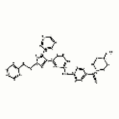 O=C(O)N1CCN(C(=O)c2ccc(Nc3nccc(-c4cn(CCc5ccccc5)nc4-c4cccnc4)n3)cc2)CC1